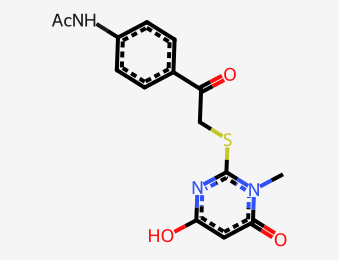 CC(=O)Nc1ccc(C(=O)CSc2nc(O)cc(=O)n2C)cc1